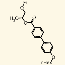 CCCCCCOc1ccc(-c2ccc(C(=O)OC(C)COCC)cc2)cc1